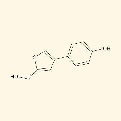 OCc1cc(-c2ccc(O)cc2)cs1